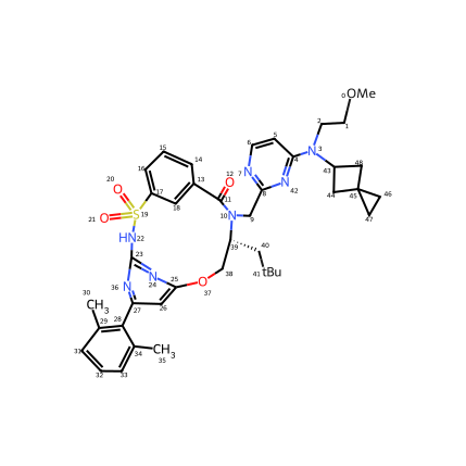 COCCN(c1ccnc(CN2C(=O)c3cccc(c3)S(=O)(=O)Nc3nc(cc(-c4c(C)cccc4C)n3)OC[C@H]2CC(C)(C)C)n1)C1CC2(CC2)C1